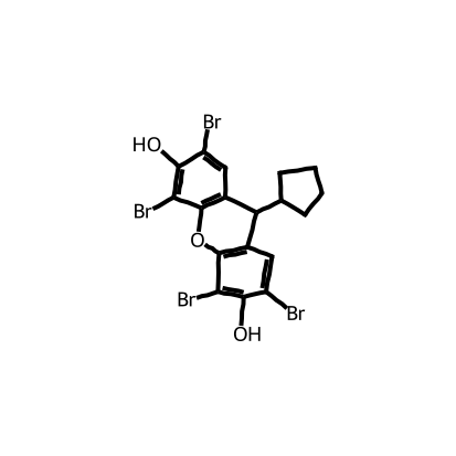 Oc1c(Br)cc2c(c1Br)Oc1c(cc(Br)c(O)c1Br)C2C1CCCC1